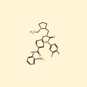 CCN1CCCC1CN(Cc1ccc(C(=O)Nc2ccccc2N)cc1)C(=O)Nc1ccc(F)c(F)c1